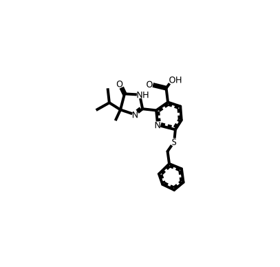 CC(C)C1(C)N=C(c2nc(SCc3ccccc3)ccc2C(=O)O)NC1=O